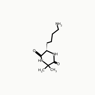 CC1(C)NC(=O)[C@H](CCCCN)NC1=O